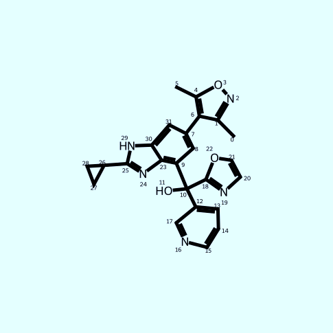 Cc1noc(C)c1-c1cc(C(O)(c2cccnc2)c2ncco2)c2nc(C3CC3)[nH]c2c1